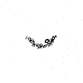 CC(CCNC(=O)C1CCNCC1)CC(=O)NCCC(C(=O)c1nc2cc(C(C)(C)C)ccc2o1)c1ccccc1